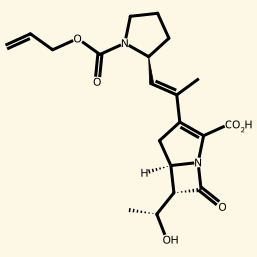 C=CCOC(=O)N1CCC[C@H]1C=C(C)C1=C(C(=O)O)N2C(=O)[C@H]([C@@H](C)O)[C@H]2C1